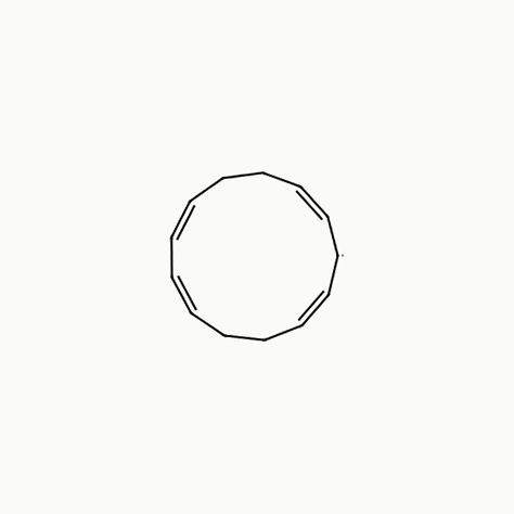 [CH]1C=CCCC=CC=CCCC=C1